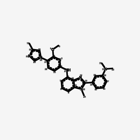 COc1nc(Nc2cccc3c2nc(-c2cccc(N(C)C)c2)n3C)ccc1-n1cnc(C)c1